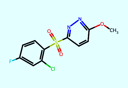 COc1ccc(S(=O)(=O)c2ccc(F)cc2Cl)nn1